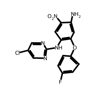 Nc1cc(Oc2ccc(F)cc2)c(Nc2ncc(Cl)cn2)cc1[N+](=O)[O-]